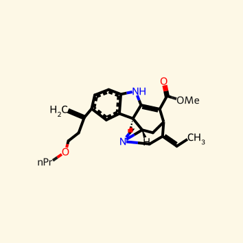 C=C(CCOCCC)c1ccc2c(c1)[C@]13CCN4C/C(=C/C)C(C[C@H]41)C(C(=O)OC)=C3N2